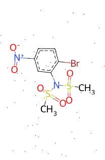 CS(=O)(=O)N(c1cc([N+](=O)[O-])ccc1Br)S(C)(=O)=O